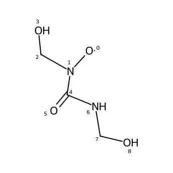 [O]N(CO)C(=O)NCO